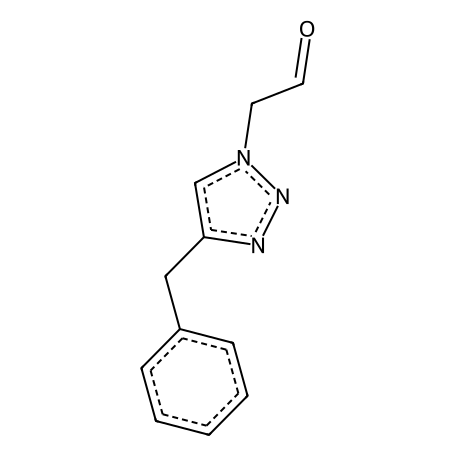 O=CCn1cc(Cc2ccccc2)nn1